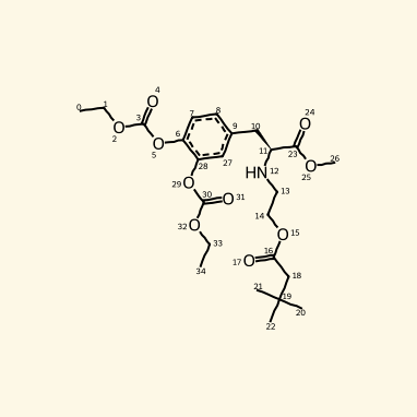 CCOC(=O)Oc1ccc(C[C@H](NCCOC(=O)CC(C)(C)C)C(=O)OC)cc1OC(=O)OCC